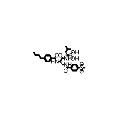 CCCCc1ccc(C(=O)N[C@@H](CNC(=O)c2ccc(S(C)(=O)=O)cc2)C(=O)N[C@@H](CC(C)C)B(O)O)cc1